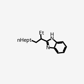 CCCCCCCCC(CC)c1nc2ccccc2[nH]1